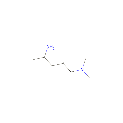 CC(N)C[CH]CN(C)C